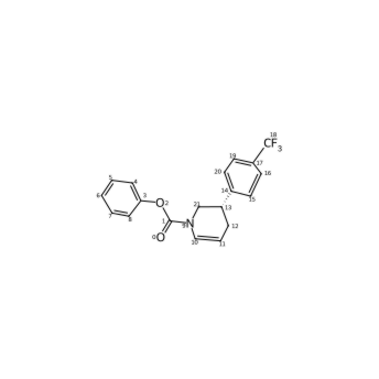 O=C(Oc1ccccc1)N1C=CC[C@@H](c2ccc(C(F)(F)F)cc2)C1